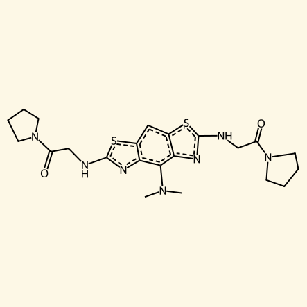 CN(C)c1c2nc(NCC(=O)N3CCCC3)sc2cc2sc(NCC(=O)N3CCCC3)nc12